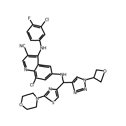 N#Cc1cnc2c(Cl)cc(NC(c3cn(C4COC4)nn3)c3csc(N4CCOCC4)n3)cc2c1Nc1ccc(F)c(Cl)c1